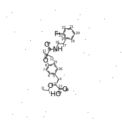 CCO[C@@H](Cc1ccc(OC(C)(C)C(=O)NCCc2ccccc2F)cc1)C(=O)O